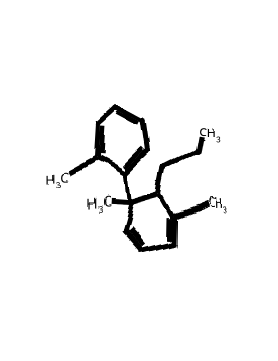 CCCC1C(C)=CC=CC1(C)c1ccccc1C